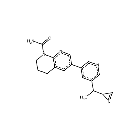 CC(c1cncc(-c2cnc3c(c2)CCCN3C(N)=O)c1)C1C=N1